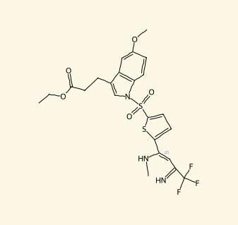 CCOC(=O)CCc1cn(S(=O)(=O)c2ccc(/C(=C/C(=N)C(F)(F)F)NC)s2)c2ccc(OC)cc12